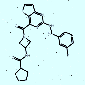 C[C@H](Nc1nc(C(=O)N2CC(NC(=O)C3CCCC3)C2)c2sccc2n1)c1cncc(F)c1